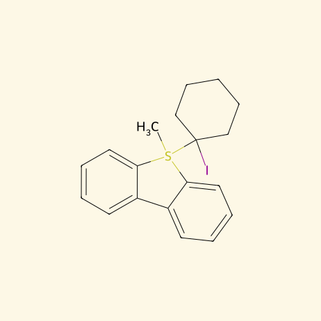 CS1(C2(I)CCCCC2)c2ccccc2-c2ccccc21